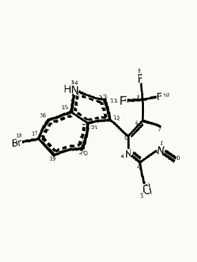 C=N/C(Cl)=N\C(=C(/C)C(F)(F)F)c1c[nH]c2cc(Br)ccc12